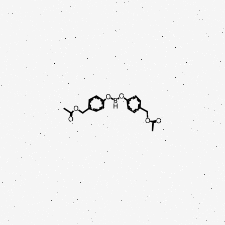 CC(=O)OCc1ccc(OBOc2ccc(COC(C)=O)cc2)cc1